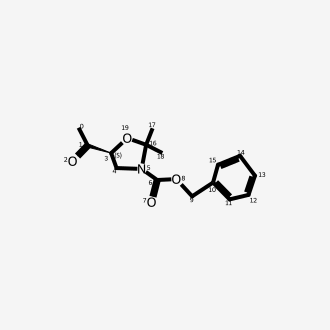 CC(=O)[C@@H]1CN(C(=O)OCc2ccccc2)C(C)(C)O1